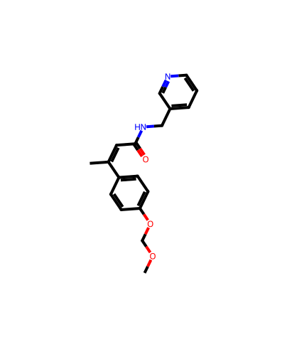 COCOc1ccc(/C(C)=C\C(=O)NCc2cccnc2)cc1